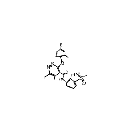 Cc1cc(F)ccc1Oc1nnc(I)c(C)c1C(=O)Nc1cccc(S(C)(=N)=O)c1